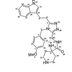 COc1ccc(Cn2c(CCc3c[nH]c4ccccc34)nnc2[C@@H](C)NC(=O)C2(N)CCNCC2)cc1